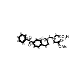 COC(=O)CN(CC(=O)O)C[C@H]1CCc2ccc(S(=O)(=O)c3ccccc3)cc2O1